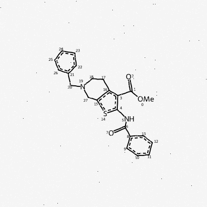 COC(=O)c1c(NC(=O)c2ccccc2)sc2c1CCN(Cc1ccccc1)C2